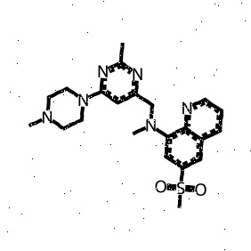 Cc1nc(CN(C)c2cc(S(C)(=O)=O)cc3cccnc23)cc(N2CCN(C)CC2)n1